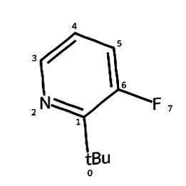 [CH2]C(C)(C)c1ncccc1F